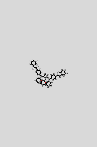 c1ccc(-n2c(N(c3ccc(-c4cc5ccccc5s4)cc3)c3cccnc3)ccc2N(c2ccc(-c3cc4ccccc4s3)cc2)c2cccnc2)cc1